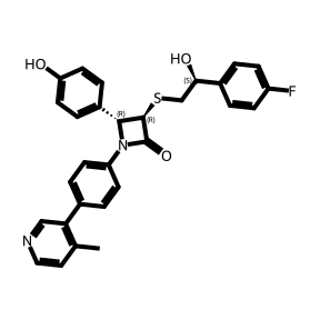 Cc1ccncc1-c1ccc(N2C(=O)[C@H](SC[C@@H](O)c3ccc(F)cc3)[C@H]2c2ccc(O)cc2)cc1